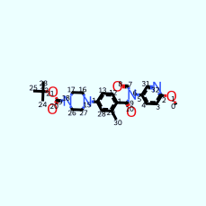 COc1ccc(N(C=O)C(=O)c2ccc(N3CCN(C(=O)OC(C)(C)C)CC3)cc2C)cn1